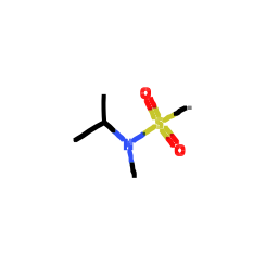 [CH2]S(=O)(=O)N(C)C(C)C